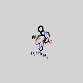 Cc1c2n(c3ccccc13)CCN1C(=O)C[C@H]3[C@H](C(=O)N4CCC(N(C)C)C4)[C@@H](C)C[C@]231